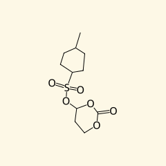 CC1CCC(S(=O)(=O)OC2CCOC(=O)O2)CC1